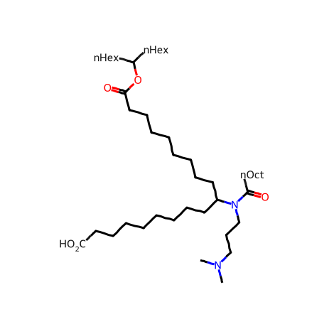 CCCCCCCCC(=O)N(CCCN(C)C)C(CCCCCCCCC(=O)O)CCCCCCCCC(=O)OC(CCCCCC)CCCCCC